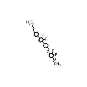 CCCCCc1ccc(-c2ccc(C3CCC(COc4ccc(OCC)c(F)c4F)CC3)c(F)c2F)cc1